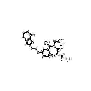 CCC1c2cc(OCCc3cn4c(n3)NCCC4)ccc2C[C@@H](CC(=O)O)C(=O)N1CC(F)(F)F